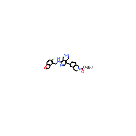 CC(C)(C)OC(=O)N1CCc2cc(-c3cnc(NCc4c(F)ccc5c4CCO5)c4cnncc34)ccc2C1